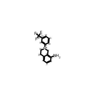 Nc1cccc2c1CN(c1cccc(C(F)(F)F)c1)CC2